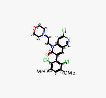 COc1cc(OC)c(Cl)c(-c2cc3cnc(Cl)cc3n(CCN3CCOCC3)c2=O)c1Cl